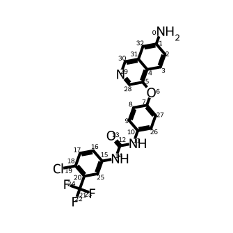 Nc1ccc2c(Oc3ccc(NC(=O)Nc4ccc(Cl)c(C(F)(F)F)c4)cc3)cncc2c1